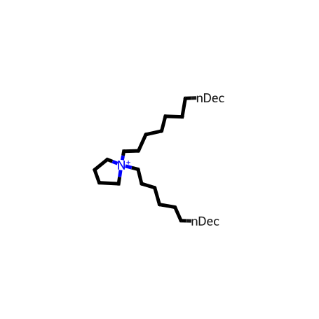 CCCCCCCCCCCCCCCCC[N+]1(CCCCCCCCCCCCCCCC)CCCC1